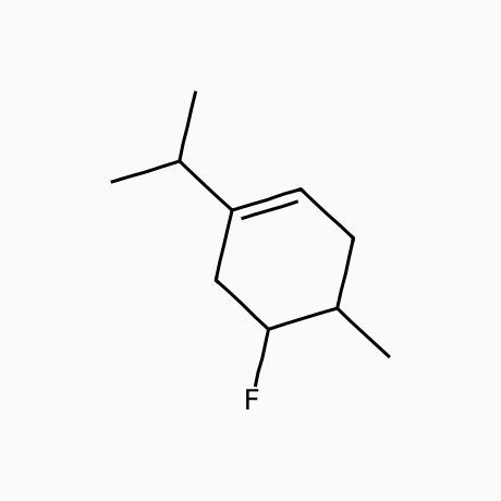 CC(C)C1=CCC(C)C(F)C1